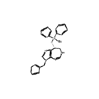 CC(C)(C)[Si](O[C@@H]1CNC=Nc2c1ncn2Cc1ccccc1)(c1ccccc1)c1ccccc1